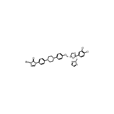 CCC(C)n1ncn(-c2ccc(N3CCN(c4ccc(OC[C@@H]5CO[C@@](Cn6nccn6)(c6ccc(Cl)c(Cl)c6)O5)cc4)CC3)cc2)c1=O